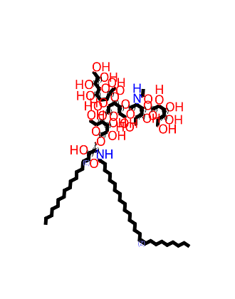 CCCCCCCC/C=C\CCCCCCCCCCCCCCCC(=O)N[C@@H](CO[C@@H]1OC(CO)[C@@H](O[C@@H]2OC(CO)[C@H](O[C@@H]3OC(CO)[C@H](O)[C@H](O[C@@H]4OC(CO)[C@H](O)[C@H](O)C4O)C3NC(C)=O)[C@H](O[C@]3(C(=O)O)CC(O)[C@@H](O)C([C@H](O)[C@H](O)CO)O3)C2O)[C@H](O)C1O)[C@H](O)/C=C/CCCCCCCCCCCCC